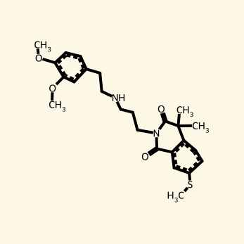 COc1ccc(CCNCCCN2C(=O)c3cc(SC)ccc3C(C)(C)C2=O)cc1OC